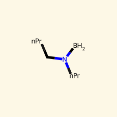 BN(CCC)CCCC